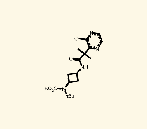 CC(C)(C(=O)NC1CC(N(C(=O)O)C(C)(C)C)C1)c1nccnc1Cl